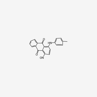 Cc1ccc(Nc2ccc(N=O)c3c2C(=O)c2ccccc2C3=O)cc1